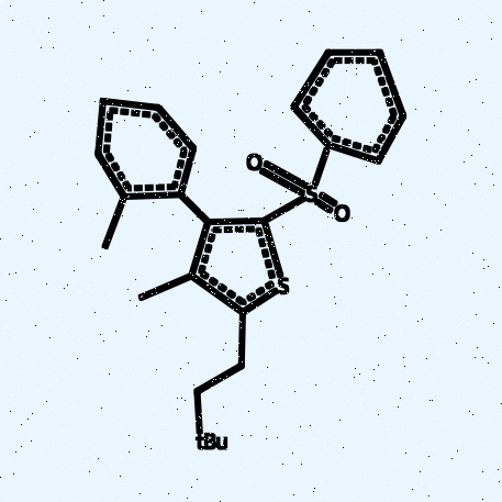 Cc1ccccc1-c1c(S(=O)(=O)c2ccccc2)sc(CCC(C)(C)C)c1C